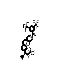 COC(=O)[C@H](C)[C@H](c1ccc2c(c1)OC1(CC2)CCN([C@H](C)c2cc(C(F)(F)F)cc(C(F)(F)F)c2)CC1)C1CC1